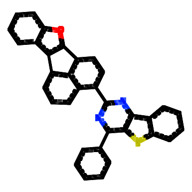 c1ccc(-c2nc(-c3ccc4c5c(cccc35)-c3c-4oc4ccccc34)nc3c2sc2ccccc23)cc1